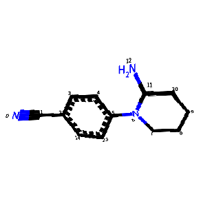 N#Cc1ccc(N2CCCCC2N)cc1